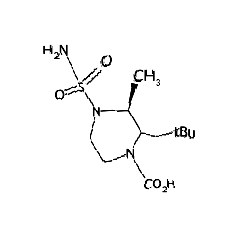 C[C@H]1C(C(C)(C)C)N(C(=O)O)CCN1S(N)(=O)=O